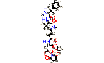 CN[C@H](C(=O)NC(C(=O)N(C)C/C=C(\C)C(=O)N[C@H](CC(=O)ON1C(=O)CCC1=O)C(=O)OC(C)(C)C)C(C)(C)C)C(C)(C)c1ccccc1